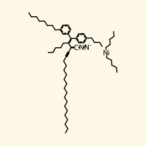 CCCCCCCCCCCCCCCCCC#CC(=C=[N+]=[N-])C(CCCCC)=C(c1ccc(CCCC)cc1)c1cccc(CCCCCCCC)c1.CCCC[CH2][Ni][CH2]CCCC